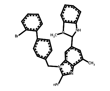 CCCc1nc2c(C)cc(C3Nc4ccccc4N3C)cc2n1Cc1ccc(-c2ccccc2Br)cc1